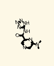 CN(C)c1cncc(C(=O)Nc2nnn[nH]2)n1